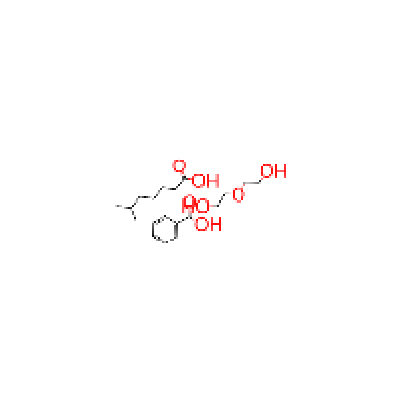 CC(C)CCCCC(=O)O.O=C(O)c1ccccc1.OCCOCCO